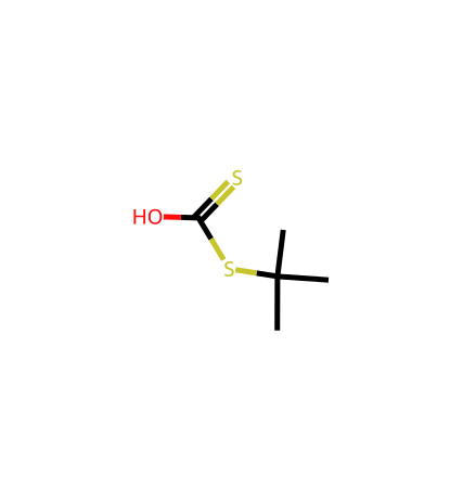 CC(C)(C)SC(O)=S